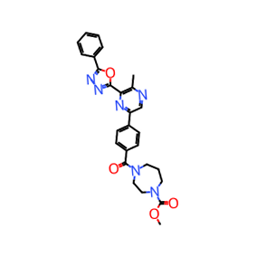 COC(=O)N1CCCN(C(=O)c2ccc(-c3cnc(C)c(-c4nnc(-c5ccccc5)o4)n3)cc2)CC1